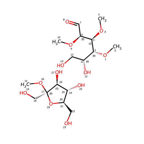 CO[C@@H]([C@H](OC)[C@H](C=O)OC)[C@H](O)CO.CO[C@]1(CO)O[C@H](CO)[C@@H](O)[C@@H]1O